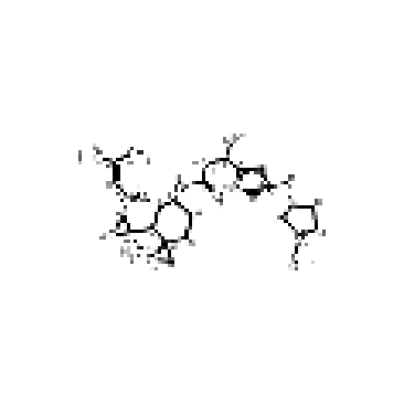 CO[C@@H]1[C@H](OC(=O)N[C@H](c2cn(C[C@@H]3CCN(C)C3)cn2)C(C)C)CC[C@]2(CO2)[C@H]1[C@@]1(C)O[C@@H]1CC=C(C)C